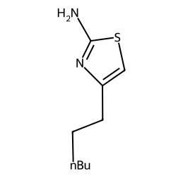 CCCCCCc1csc(N)n1